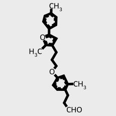 Cc1ccc(-c2cc(CCCOc3ccc(CCC=O)c(C)c3)c(C)o2)cc1